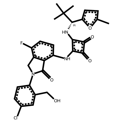 Cc1ccc([C@H](Nc2c(Nc3ccc(F)c4c3C(=O)N(c3ccc(Cl)cc3CO)C4)c(=O)c2=O)C(C)(C)C)o1